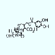 N[C@]1(NC=O)C(=O)N2C(C(=O)O)=C(COC(=O)c3ccc(O)c(O)c3)CS[C@@H]21